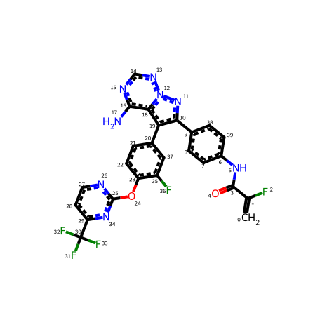 C=C(F)C(=O)Nc1ccc(-c2nn3ncnc(N)c3c2-c2ccc(Oc3nccc(C(F)(F)F)n3)c(F)c2)cc1